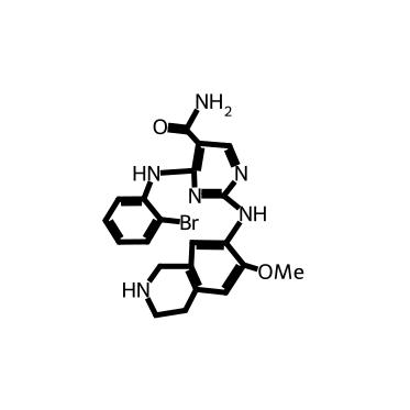 COc1cc2c(cc1Nc1ncc(C(N)=O)c(Nc3ccccc3Br)n1)CNCC2